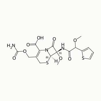 COC(C(=O)N[C@]1(OC)C(=O)N2C(C(=O)O)=C(COC(N)=O)CS[C@@H]21)c1cccs1